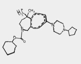 CC1(C)CCN(C(=O)OC2CCCCC2)Cc2cc(N3CCN(C4CCCC4)CC3)ccc21